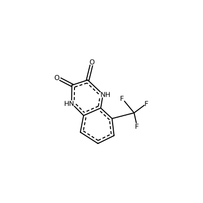 O=c1[nH]c2cccc(C(F)(F)F)c2[nH]c1=O